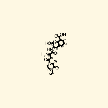 CCN1CCN(C(=O)C[C@@H](N)C(=O)N[C@H]2Cc3cccc(C(=O)O)c3OB2O)C(=O)C1=O